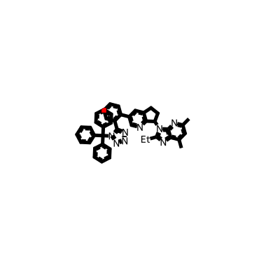 CCc1nc2c(C)cc(C)nc2n1C1CCc2cc(-c3ccccc3-c3nnnn3C(c3ccccc3)(c3ccccc3)c3ccccc3)cnc21